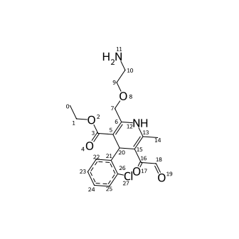 CCOC(=O)C1=C(COCCN)NC(C)=C(C(=O)C=O)C1c1ccccc1Cl